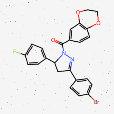 O=C(c1ccc2c(c1)OCCO2)N1N=C(c2ccc(Br)cc2)CC1c1ccc(F)cc1